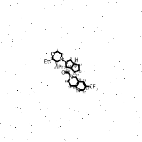 CCC[C@H]1[C@H](CC)OCCN1[C@H]1C[C@H]2CCC[C@@]2(C(=O)N2CCc3ncc(C(F)(F)F)cc3C2)C1